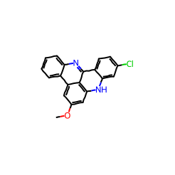 COc1cc2c3c(nc4ccccc4c3c1)-c1ccc(Cl)cc1N2